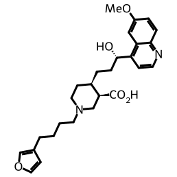 COc1ccc2nccc([C@@H](O)CC[C@@H]3CCN(CCCCc4ccoc4)C[C@@H]3C(=O)O)c2c1